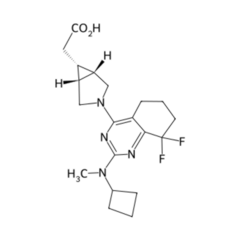 CN(c1nc(N2C[C@@H]3[C@H](CC(=O)O)[C@@H]3C2)c2c(n1)C(F)(F)CCC2)C1CCC1